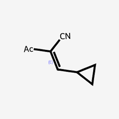 CC(=O)/C(C#N)=C/C1CC1